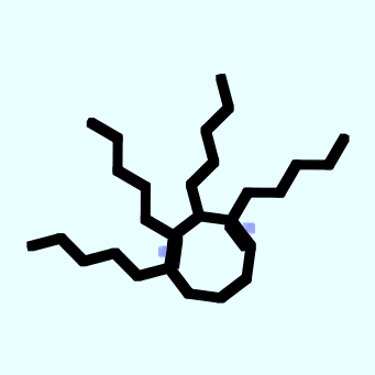 CCCCC/C1=C/CCC/C(CCCCC)=C(/CCCCC)C1CCCCC